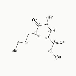 CC(C)[C@H](NSC(=O)OC(C)(C)C)C(=O)OCCCBr